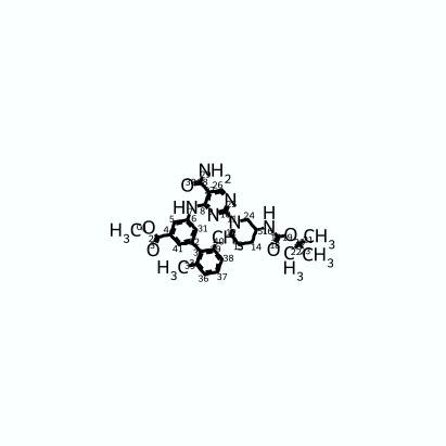 COC(=O)c1cc(Nc2nc(N3CCC[C@H](NC(=O)OC(C)(C)C)C3)ncc2C(N)=O)cc(-c2c(C)cccc2C)c1